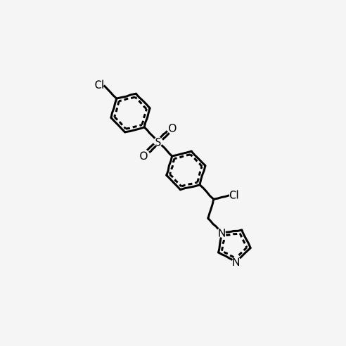 O=S(=O)(c1ccc(Cl)cc1)c1ccc(C(Cl)Cn2ccnc2)cc1